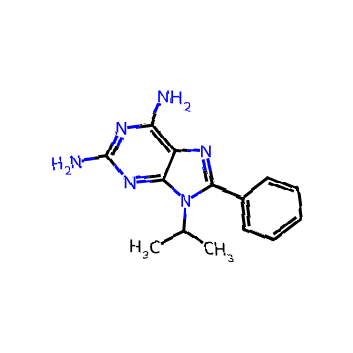 CC(C)n1c(-c2ccccc2)nc2c(N)nc(N)nc21